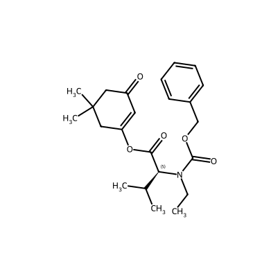 CCN(C(=O)OCc1ccccc1)[C@H](C(=O)OC1=CC(=O)CC(C)(C)C1)C(C)C